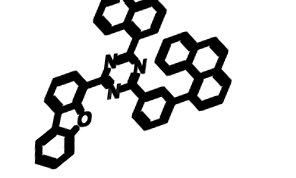 c1cc(-c2nc(-c3cccc4ncccc34)nc(-c3cccc4c3oc3ccccc34)n2)cc(-c2cccc3ccc4ccccc4c23)c1